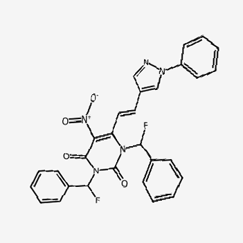 O=c1c([N+](=O)[O-])c(C=Cc2cnn(-c3ccccc3)c2)n(C(F)c2ccccc2)c(=O)n1C(F)c1ccccc1